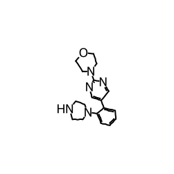 c1ccc(N2CCNCC2)c(-c2cnc(N3CCOCC3)nc2)c1